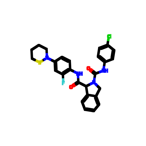 O=C(Nc1ccc(N2CCCCS2)cc1F)C1c2ccccc2CN1C(=O)Nc1ccc(Cl)cc1